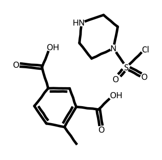 Cc1ccc(C(=O)O)cc1C(=O)O.O=S(=O)(Cl)N1CCNCC1